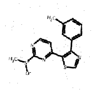 Cc1cccc(-c2ncsc2-c2ccnc([S+](C)[O-])n2)c1